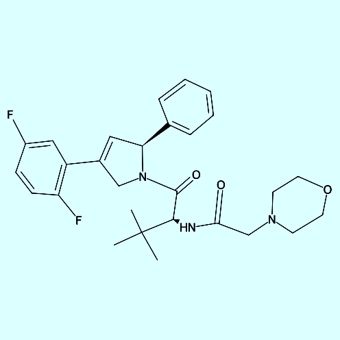 CC(C)(C)[C@H](NC(=O)CN1CCOCC1)C(=O)N1CC(c2cc(F)ccc2F)=C[C@H]1c1ccccc1